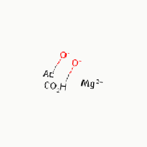 CC(=O)[O-].O=C([O-])O.[Mg+2]